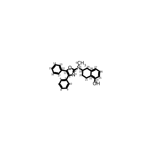 CN(c1nc(-c2ccccc2)c(-c2ccccc2)o1)C1CCc2c(O)cccc2C1